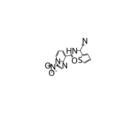 N#CC(NC(=O)c1cccn2c([N+](=O)[O-])cnc12)c1cccs1